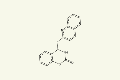 O=C1NC(Cc2ccc3ccccc3n2)c2ccccc2O1